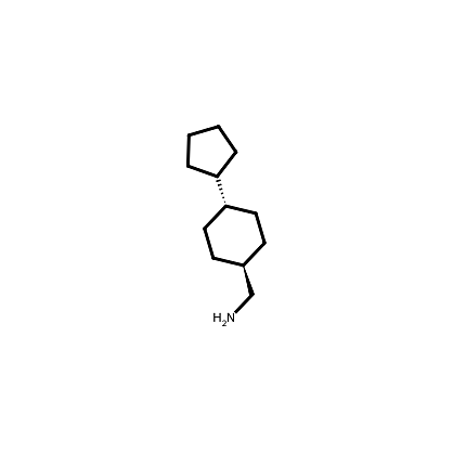 NC[C@H]1CC[C@H](C2CCCC2)CC1